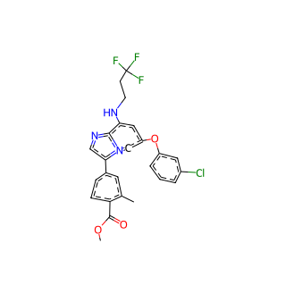 COC(=O)c1ccc(-c2cnc3c(NCCC(F)(F)F)cc(Oc4cccc(Cl)c4)cn23)cc1C